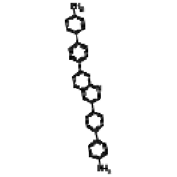 Pc1ccc(-c2ccc(-c3cnc4cc(-c5ccc(-c6ccc(P)cc6)cc5)ccc4c3)cc2)cc1